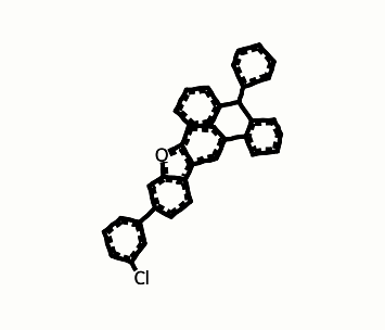 Clc1cccc(-c2ccc3c(c2)oc2ccc(-c4ccccc4C(c4ccccc4)c4ccccc4)cc23)c1